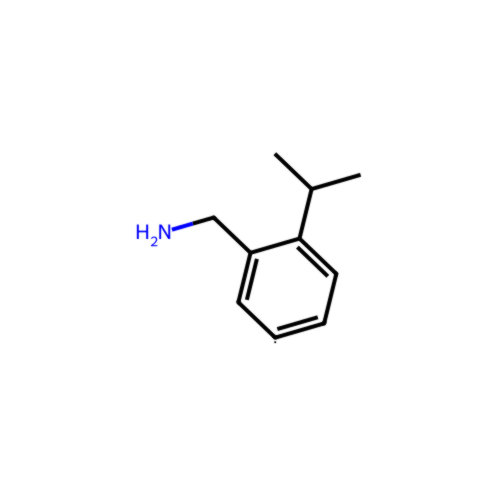 CC(C)c1cc[c]cc1CN